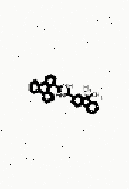 CC1(C)c2ccccc2-c2ccc(C3CNC(c4cccc5c6ccccc6c6ccccc6c45)=CN3)cc21